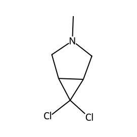 CN1CC2C(C1)C2(Cl)Cl